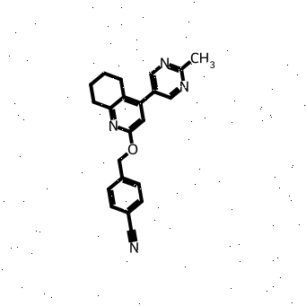 Cc1ncc(-c2cc(OCc3ccc(C#N)cc3)nc3c2CCCC3)cn1